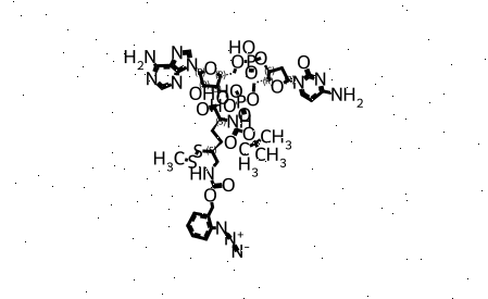 CSS[C@@H](CC[C@H](NC(=O)OC(C)(C)C)C(=O)O[C@H]1[C@@H](O)[C@H](n2cnc3c(N)ncnc32)O[C@@H]1COP(=O)(O)O[C@H]1C[C@H](n2ccc(N)nc2=O)O[C@@H]1COP(=O)(O)O)CNC(=O)OCc1ccccc1N=[N+]=[N-]